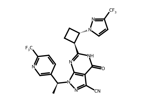 C[C@@H](c1ccc(C(F)(F)F)nc1)n1nc(C#N)c2c(=O)[nH]c([C@H]3CC[C@@H]3n3ccc(C(F)(F)F)n3)nc21